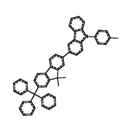 Cc1ccc(-n2c3ccccc3c3cc(-c4ccc5c(c4)C(C)(C)c4cc(C(c6ccccc6)(c6ccccc6)c6ccccc6)ccc4-5)ccc32)cc1